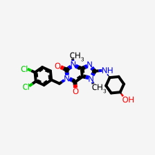 Cn1c(N[C@H]2CC[C@H](O)CC2)nc2c1c(=O)n(Cc1ccc(Cl)c(Cl)c1)c(=O)n2C